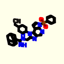 N#CCC1CCC(n2c(CNC(=N)C34CC5CC(CC(C5)C3)C4)nc3cnc4c(ccn4S(=O)(=O)c4ccccc4)c32)CC1